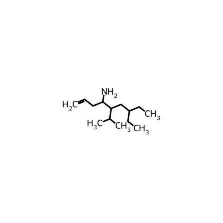 C=CCC(N)C(CC(CC)CC)C(C)C